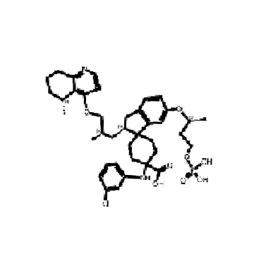 C[C@@H](COc1ccnc2c1[C@H](C)CCC2)C[C@H]1Cc2ccc(O[C@@H](C)CCOP(=O)(O)O)cc2C12CCC(Nc1cccc(Cl)c1)(C(=O)O)CC2